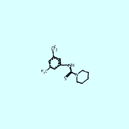 FC(F)(F)c1cc(NC(=S)N2CCCCC2)cc(C(F)(F)F)c1